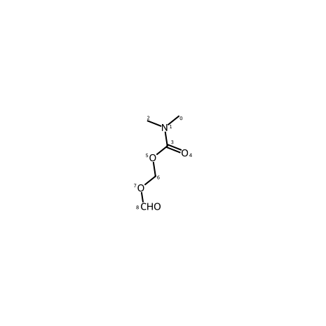 CN(C)C(=O)OCOC=O